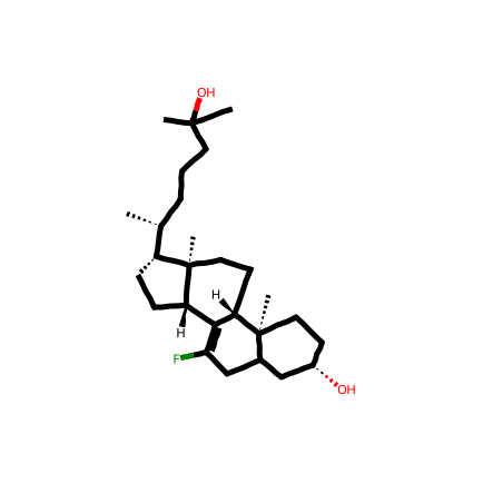 C[C@H](CCCC(C)(C)O)[C@H]1CC[C@H]2C3=C(F)CC4C[C@@H](O)CC[C@]4(C)[C@H]3CC[C@]12C